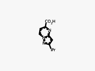 CC(C)c1cc2nc(C(=O)O)ccn2n1